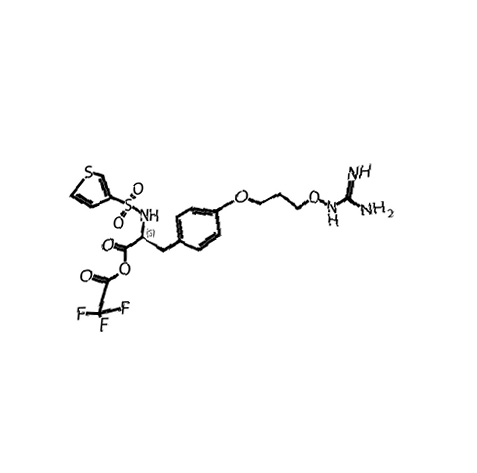 N=C(N)NOCCCOc1ccc(C[C@H](NS(=O)(=O)c2ccsc2)C(=O)OC(=O)C(F)(F)F)cc1